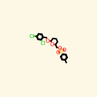 Cc1ccc(S(=O)(=O)OCC2CCCC(OCc3ccc(Cl)cc3Cl)O2)cc1